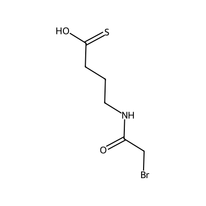 O=C(CBr)NCCCC(O)=S